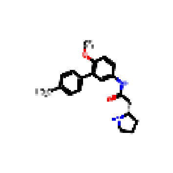 O=C(C[C@@H]1CCCN1)Nc1ccc(OC(F)(F)F)c(-c2ccc(C(=O)O)cc2)c1